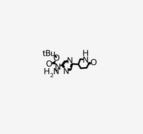 CC(C)(C)OC(=O)N(N)c1cnc(C2CCC(=O)NC2)cn1